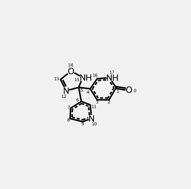 O=c1ccc(C2(c3cccnc3)N=CON2)c[nH]1